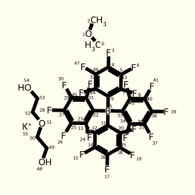 COC.Fc1c(F)c(F)c([B-](c2c(F)c(F)c(F)c(F)c2F)(c2c(F)c(F)c(F)c(F)c2F)c2c(F)c(F)c(F)c(F)c2F)c(F)c1F.OCCOCCO.[K+]